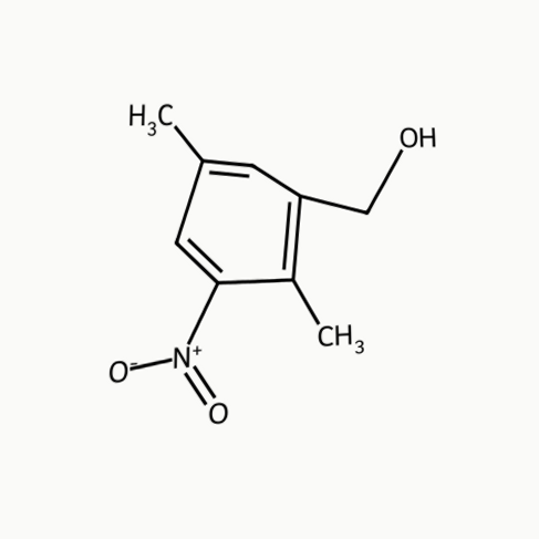 Cc1cc(CO)c(C)c([N+](=O)[O-])c1